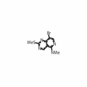 CNc1ncc(Br)c2nc(SC)ncc12